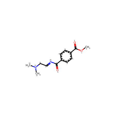 COC(=O)c1ccc(C(=O)N=CCN(C)C)cc1